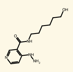 NNc1ccncc1C(=O)NCCCCCCO